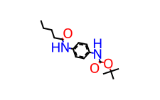 CCCCC(=O)Nc1ccc(NC(=O)OC(C)(C)C)cc1